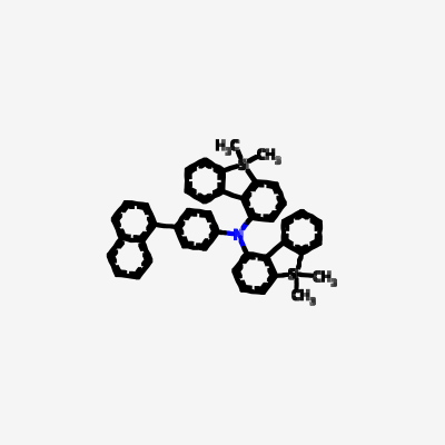 C[Si]1(C)c2ccccc2-c2c(N(c3ccc(-c4cccc5ccccc45)cc3)c3cccc4c3-c3ccccc3[Si]4(C)C)cccc21